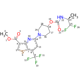 COC(=O)c1csc2c(C(F)(F)F)cc(N3CCC(OC(=O)N[C@@H](C)C(F)F)CC3)nc12